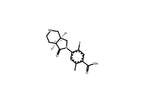 Cc1cc(N2C[C@@H]3CNCC[C@]3(F)C2=O)c(F)cc1C(=O)O